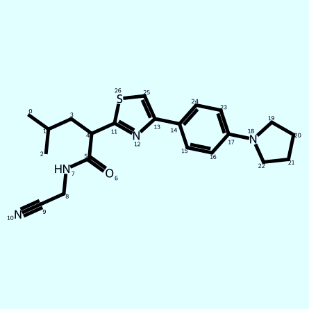 CC(C)CC(C(=O)NCC#N)c1nc(-c2ccc(N3CCCC3)cc2)cs1